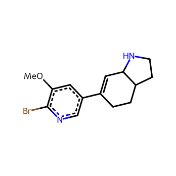 COc1cc(C2=CC3NCCC3CC2)cnc1Br